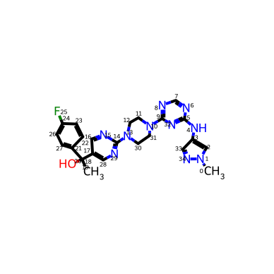 Cn1cc(Nc2ncnc(N3CCN(c4ncc(C(C)(O)c5ccc(F)cc5)cn4)CC3)n2)cn1